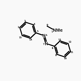 CNC.c1ccc(N=Nc2ccccc2)cc1